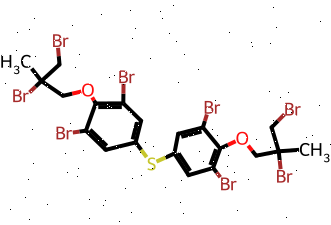 CC(Br)(CBr)COc1c(Br)cc(Sc2cc(Br)c(OCC(C)(Br)CBr)c(Br)c2)cc1Br